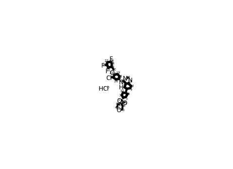 Cl.O=S(=O)(c1ccc(-c2ccc3ncnc(Nc4ccc(OCc5cc(F)cc(F)c5F)c(Cl)c4)c3c2)cc1)N1CCOCC1